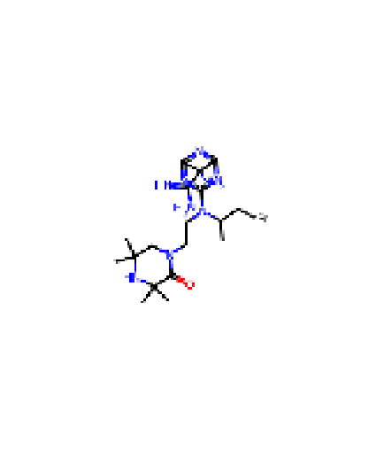 CC(C)CC(C)N(CCN1CC(C)(C)NC(C)(C)C1=O)c1nc2nc(n1)C2(N)C(=N)N